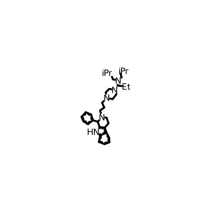 CCC(N1CCN(CCCN2CCc3c([nH]c4ccccc34)C2c2ccccc2)CC1)N(CC(C)C)CC(C)C